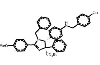 CCOC(=O)[C@]1(c2ccccc2)N=C(c2ccc(OC)cc2)N(Cc2ccccc2)[C@@H]1c1ccc(NCc2ccc(O)cc2)cc1